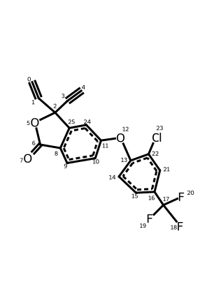 C#CC1(C#C)OC(=O)c2ccc(Oc3ccc(C(F)(F)F)cc3Cl)cc21